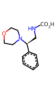 O=C(O)NC[C@@H](c1ccccc1)N1CCOCC1